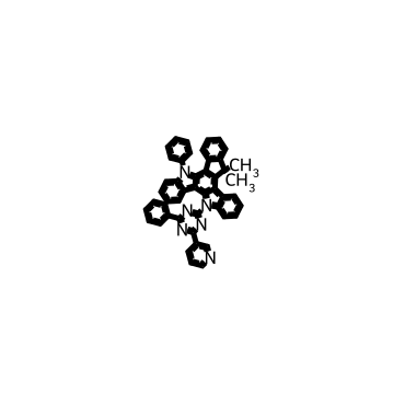 CC1(C)c2ccccc2-c2c1c1c3ccccc3n(-c3nc(-c4ccccc4)nc(-c4cccnc4)n3)c1c1c3ccccc3n(-c3ccccc3)c21